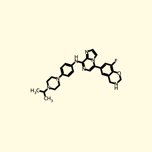 CC(C)N1CCN(c2ccc(Nc3ncc(-c4cc(F)c5c(c4)CNCO5)n4ccnc34)cc2)CC1